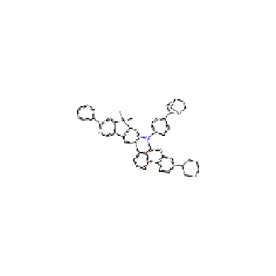 CC1(C)c2cc(-c3ccccc3)ccc2-c2cc(-c3ccccc3)c(N(c3ccc(C4CC5CCC4C5)cc3)c3ccc4ccc(C5CCCCC5)cc4c3)cc21